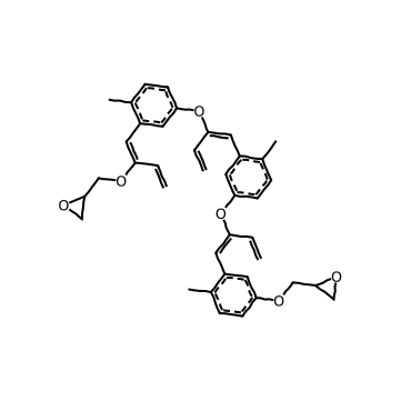 C=C/C(=C\c1cc(O/C(C=C)=C/c2cc(O/C(C=C)=C/c3cc(OCC4CO4)ccc3C)ccc2C)ccc1C)OCC1CO1